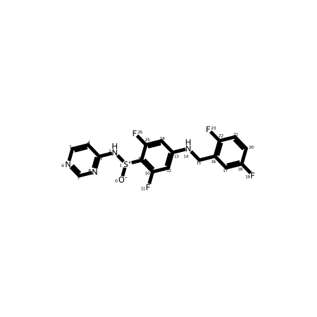 [O-][S+](Nc1ccncn1)c1c(F)cc(NCc2cc(F)ccc2F)cc1F